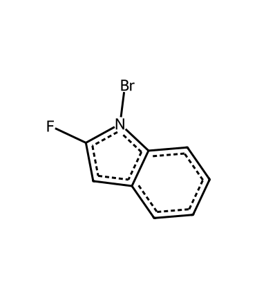 Fc1cc2ccccc2n1Br